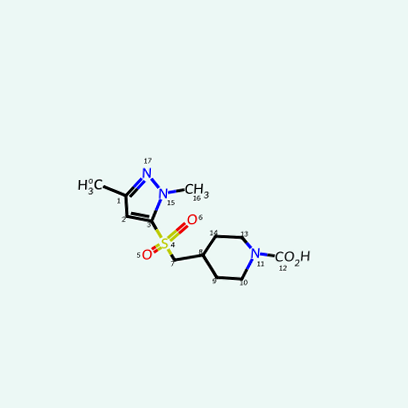 Cc1cc(S(=O)(=O)CC2CCN(C(=O)O)CC2)n(C)n1